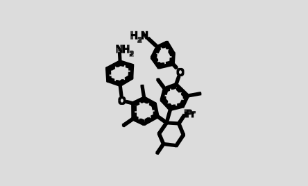 Cc1cc(C2(c3cc(C)c(Oc4ccc(N)cc4)c(C)c3)CC(C)CCC2C(C)C)cc(C)c1Oc1ccc(N)cc1